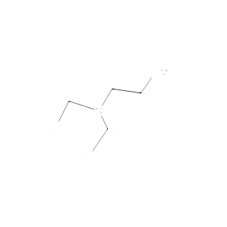 COCCN(CI)CC(C)(C)C